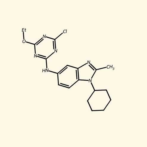 CCOc1nc(Cl)nc(Nc2ccc3c(c2)nc(C)n3C2CCCCC2)n1